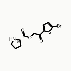 O=C(COC(=O)[C@@H]1CCCN1)c1ccc(Br)s1